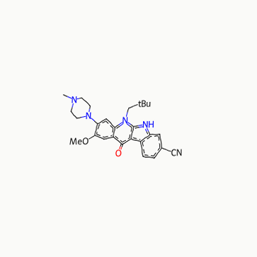 COc1cc2c(=O)c3c4ccc(C#N)cc4[nH]c3n(CC(C)(C)C)c2cc1N1CCN(C)CC1